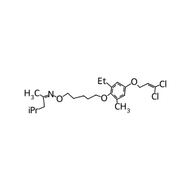 CCc1cc(OCC=C(Cl)Cl)cc(C)c1OCCCCCON=C(C)CC(C)C